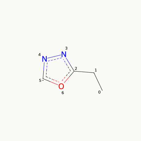 CCc1nn[c]o1